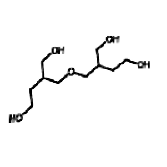 OCCC(CO)COCC(CO)CCO